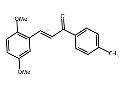 COc1ccc(OC)c(/C=C/C(=O)c2ccc(C)cc2)c1